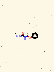 NC(=O)NCOc1ccccc1